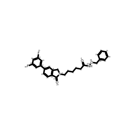 O=C(CCCCCN1Cc2cc(-c3cc(F)cc(F)c3)ccc2C1=O)NOCc1ccccc1